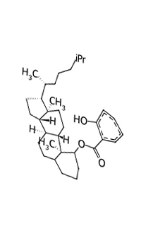 CC(C)CCC[C@@H](C)[C@H]1CC[C@H]2[C@@H]3CCC4CCCC(OC(=O)c5ccccc5O)[C@]4(C)[C@H]3CC[C@]12C